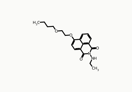 CCCCOCCOc1ccc2c3c(cccc13)C(=O)N(NCC)C2=O